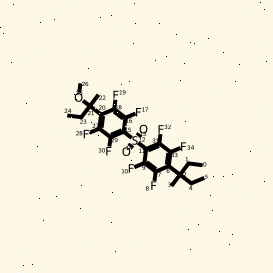 CCC(C)(CC)c1c(F)c(F)c(S(=O)(=O)c2c(F)c(F)c(C(C)(CC)OC)c(F)c2F)c(F)c1F